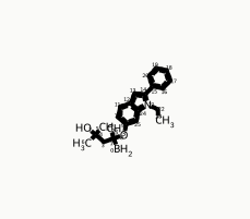 BC(C)(CC(C)(C)O)Oc1ccc2cc(-c3ccccc3)n(CC)c2c1